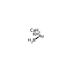 [BH2][Au].[CaH2].[KH]